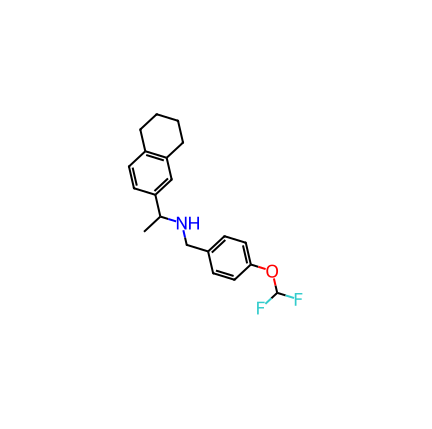 CC(NCc1ccc(OC(F)F)cc1)c1ccc2c(c1)CCCC2